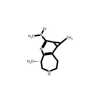 CCN(C)C1=NC2=C(CCNC[C@@H]2C)C2C(C)C12